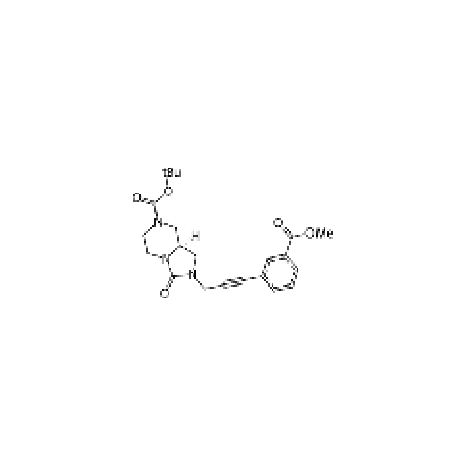 COC(=O)c1cccc(C#CCN2C[C@@H]3CN(C(=O)OC(C)(C)C)CCN3C2=O)c1